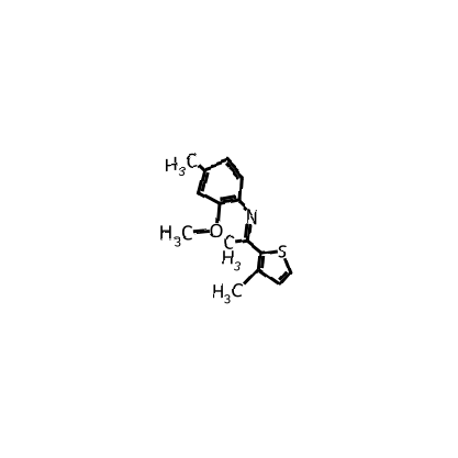 COc1cc(C)ccc1N=C(C)c1sccc1C